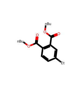 [CH2]Cc1ccc(C(=O)OCCCC)c(C(=O)OCCCC)c1